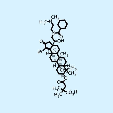 CC(C)C1=C2[C@H]3CC[C@@H]4[C@@]5(C)CC[C@H](OC(=O)CC(C)(C)C(=O)O)C(C)(C)[C@H]5CC[C@@]4(C)[C@]3(C)CC[C@@]2(C(O)CN(CCN(C)C)C(=O)C2CCCCC2)CC1=O